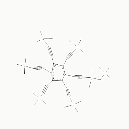 C[Si](C)(C)C#Cc1c(C#C[Si](C)(C)C)c(C#C[Si](C)(C)C)c(C#C[Si](C)(C)C[Si](C)(C)C)c(C#C[Si](C)(C)C)c1C#C[Si](C)(C)C